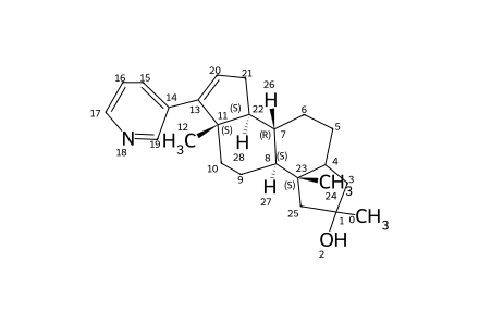 CC1(O)CC2CC[C@@H]3[C@H](CC[C@]4(C)C(c5cccnc5)=CC[C@@H]34)[C@@]2(C)C1